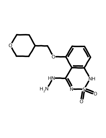 NNC1=NS(=O)(=O)Nc2cccc(OCC3CCOCC3)c21